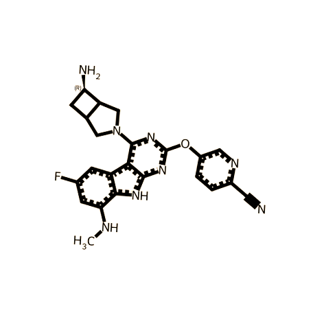 CNc1cc(F)cc2c1[nH]c1nc(Oc3ccc(C#N)nc3)nc(N3CC4C[C@@H](N)C4C3)c12